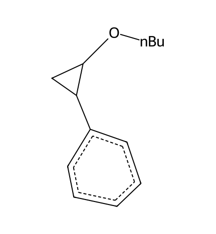 CCCCOC1CC1c1ccccc1